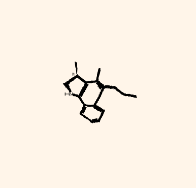 CCCc1c(C)c2c(c3ccccc13)NC[C@H]2C